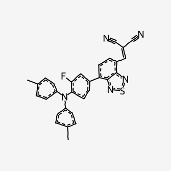 Cc1ccc(N(c2ccc(C)cc2)c2ccc(-c3ccc(C=C(C#N)C#N)c4nsnc34)cc2F)cc1